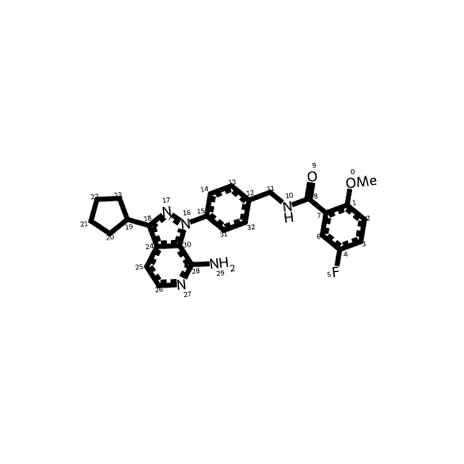 COc1ccc(F)cc1C(=O)NCc1ccc(-n2nc(C3CCCC3)c3ccnc(N)c32)cc1